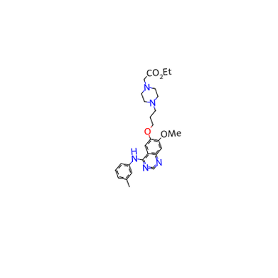 CCOC(=O)CN1CCN(CCCOc2cc3c(Nc4cccc(C)c4)ncnc3cc2OC)CC1